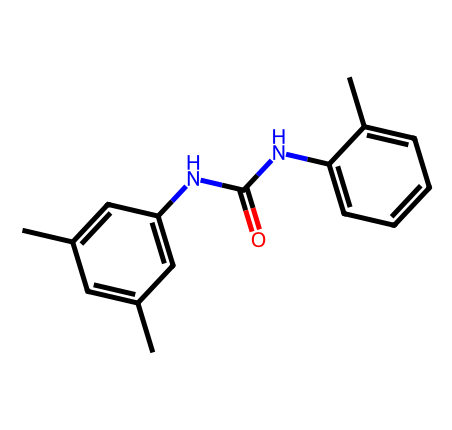 Cc1cc(C)cc(NC(=O)Nc2ccccc2C)c1